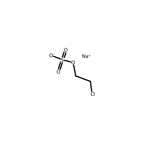 O=S(=O)([O-])OCCCl.[Na+]